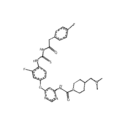 CN(C)CC1CCN(C(=O)Nc2cc(Oc3ccc(NC(=S)NC(=O)Cc4ccc(F)cc4)c(F)c3)ncn2)CC1